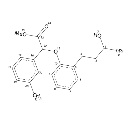 CCCC(O)CCc1ccccc1OC(C(=O)OC)c1cccc(C)c1